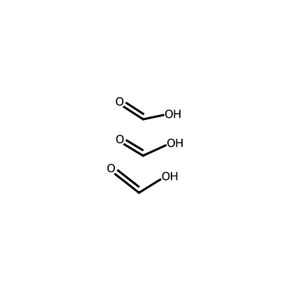 O=CO.O=CO.O=CO